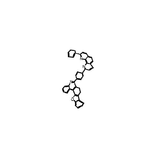 C1=CCCC(c2ccc3ccc4ccc(C5C=CC(c6nc7ccccc7c7c6CCc6c-7oc7ccccc67)=CC5)nc4c3n2)=C1